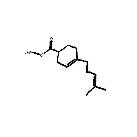 CC(C)=CCCC1=CCC(C(=O)OC(C)C)CC1